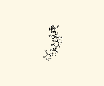 Cc1cc(N2CCC(N3CCCC3C)C2)ccc1NC(=O)Oc1c(C)noc1C